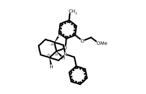 COCOc1cc(C)ccc1O[C@H]1[C@@H]2CCC[C@H]1CN(Cc1ccccc1)C2